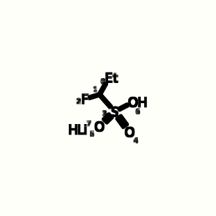 CCC(F)S(=O)(=O)O.[LiH]